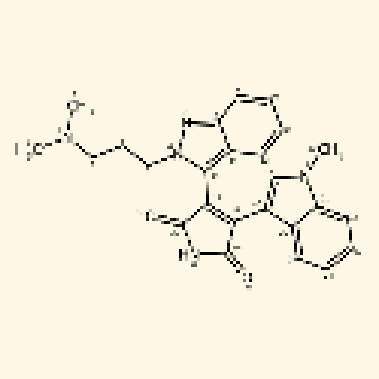 CN(C)CCCn1nc2ccccc2c1C1=C(c2cn(C)c3ccccc23)C(=O)NC1=O